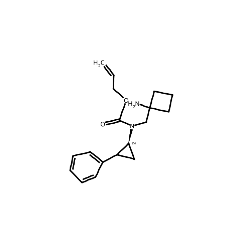 C=CCOC(=O)N(CC1(N)CCC1)[C@H]1CC1c1ccccc1